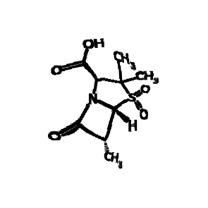 C[C@@H]1C(=O)N2[C@@H](C(=O)O)C(C)(C)S(=O)(=O)[C@H]12